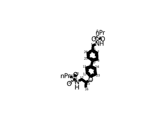 CCCS(=O)(=O)NCc1ccc(-c2ccc(OC(C)CNS(=O)(=O)CCC)cc2)cc1